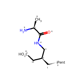 CCC[C@@H](C)C[C@H](CNC(=O)[C@H](C)N)CC(=O)O